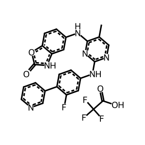 Cc1cnc(Nc2ccc(-c3cccnc3)c(F)c2)nc1Nc1ccc2oc(=O)[nH]c2c1.O=C(O)C(F)(F)F